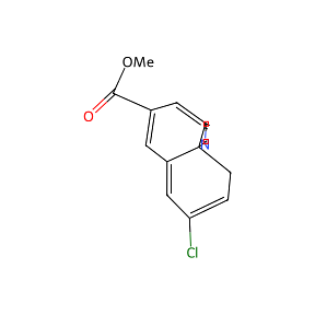 COC(=O)C1=CC2=CC(Cl)=CCC23C=NC=CC3=C1